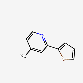 N#Cc1ccnc(-c2cccs2)c1